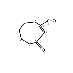 O=C/C1=C/C(=O)CCCCC1